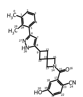 Cc1cccc(-c2cc(C3CC4(C3)CN(C(=O)c3cc(O)ccc3C#N)C4)[nH]n2)c1C